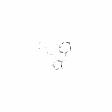 CCCCOn1cccc1Cc1ccccc1